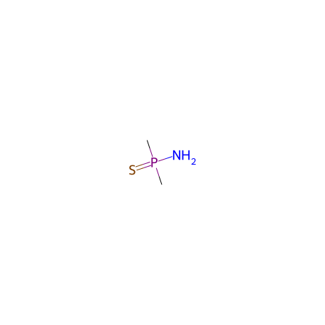 CP(C)(N)=S